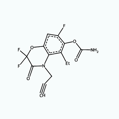 C#CCN1C(=O)C(F)(F)Oc2cc(F)c(OC(N)=O)c(CC)c21